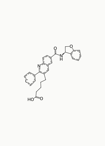 O=C(O)CCCCc1cc2cc(C(=O)N[C@H]3COc4ccccc43)ccc2nc1-c1ccccc1